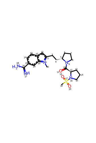 Cn1c(CC[C@@H]2CCCN2C(=O)[C@H]2CCCN2S(C)(=O)=O)cc2ccc(C(=N)N)cc21